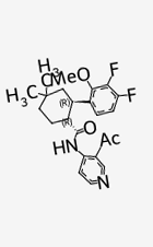 COc1c([C@@H]2CC(C)(C)CC[C@H]2C(=O)Nc2ccncc2C(C)=O)ccc(F)c1F